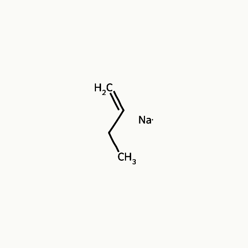 C=CCC.[Na]